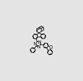 c1ccc(-c2nc(-c3ccc4oc5ccccc5c4c3)nc(-c3cccc4c3-c3ccccc3C43C4CC5CC(C4)CC3C5)n2)cc1